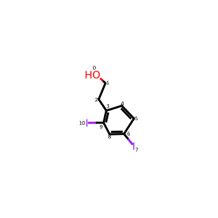 OCCc1ccc(I)cc1I